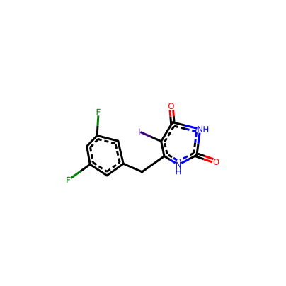 O=c1[nH]c(Cc2cc(F)cc(F)c2)c(I)c(=O)[nH]1